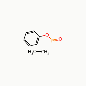 CC.O=POc1ccccc1